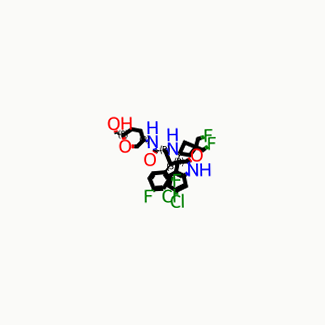 O=C(N[C@@H]1CC[C@@H](CO)OC1)[C@@H]1NC2(CC(CF)(CF)C2)[C@@]2(C(=O)Nc3cc(Cl)ccc32)[C@H]1c1ccc(F)c(Cl)c1F